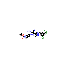 Cc1nn(Cc2cc(Cl)cc(C(F)(F)F)c2)cc1-c1nn([C@H]2C[C@@]3(CCN(C(=O)OC(C)(C)C)C3)C2)c(N)c1C#N